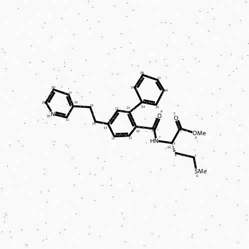 COC(=O)[C@H](CCSC)NC(=O)c1ccc(CCc2cccnc2)cc1-c1ccccc1